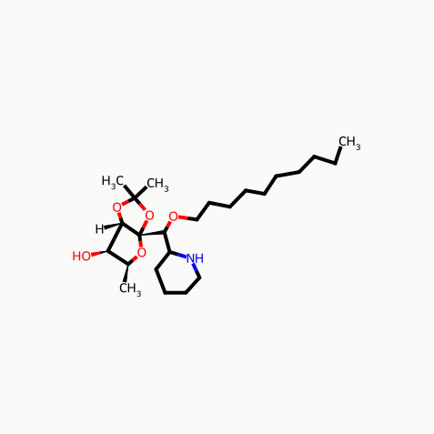 CCCCCCCCCCOC(C1CCCCN1)[C@@]12O[C@@H](C)[C@@H](O)[C@@H]1OC(C)(C)O2